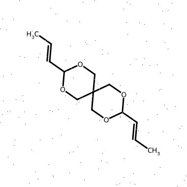 CC=CC1OCC2(CO1)COC(C=CC)OC2